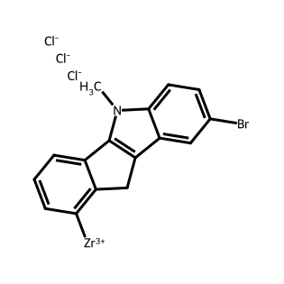 Cn1c2c(c3cc(Br)ccc31)Cc1[c]([Zr+3])cccc1-2.[Cl-].[Cl-].[Cl-]